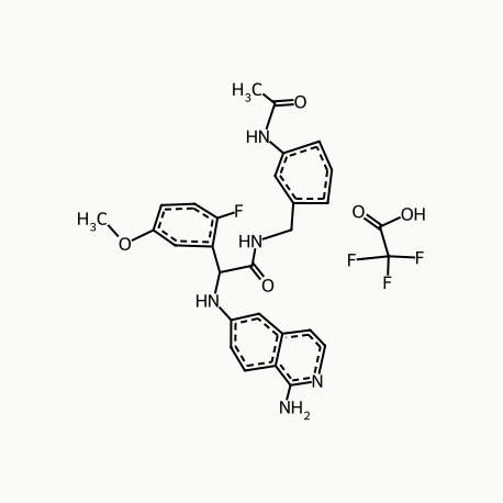 COc1ccc(F)c(C(Nc2ccc3c(N)nccc3c2)C(=O)NCc2cccc(NC(C)=O)c2)c1.O=C(O)C(F)(F)F